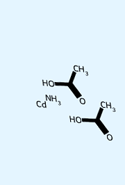 CC(=O)O.CC(=O)O.N.[Cd]